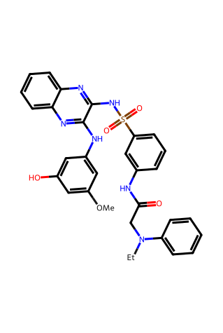 CCN(CC(=O)Nc1cccc(S(=O)(=O)Nc2nc3ccccc3nc2Nc2cc(O)cc(OC)c2)c1)c1ccccc1